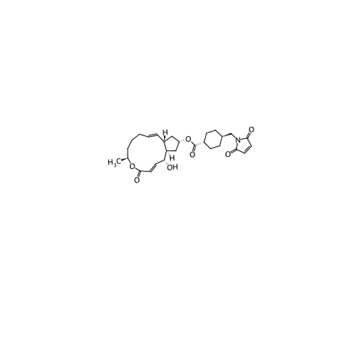 C[C@H]1CCC/C=C/[C@@H]2C[C@H](OC(=O)[C@H]3CC[C@H](CN4C(=O)C=CC4=O)CC3)C[C@H]2[C@H](O)/C=C/C(=O)O1